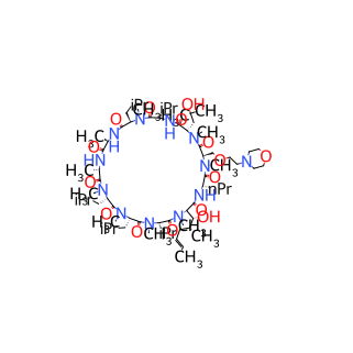 C/C=C/C[C@@H](C)[C@@H](O)[C@H]1C(=O)N[C@@H](CCC)C(=O)N(C)[C@H](COCCN2CCOCC2)C(=O)N(C)[C@@H](CC(C)(C)O)C(=O)N[C@H](C(C)C)C(=O)N(C)[C@H](CC(C)C)C(=O)N[C@H](C)C(=O)N[C@@H](C)C(=O)N(C)[C@@H](CC(C)C)C(=O)N(C)[C@@H](CC(C)C)C(=O)N(C)[C@@H](C(C)C)C(=O)N1C